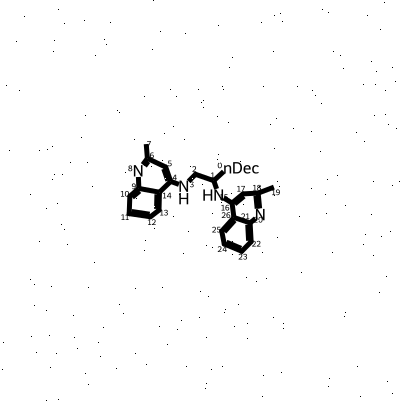 CCCCCCCCCCC(CNc1cc(C)nc2ccccc12)Nc1cc(C)nc2ccccc12